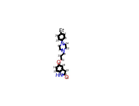 CCc1ccc(N2CCN(CCCOc3ccc4c(c3)CC(=O)N4)CC2)cc1